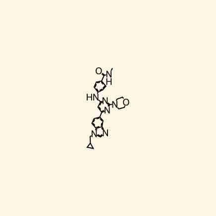 CNC(=O)c1ccc(Nc2cc(-c3ccc4c(c3)ncn4CC3CC3)nc(N3CCOCC3)n2)cc1